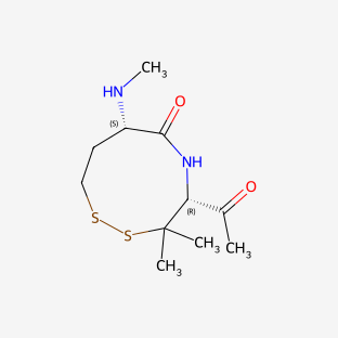 CN[C@H]1CCSSC(C)(C)[C@@H](C(C)=O)NC1=O